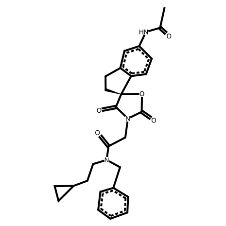 CC(=O)Nc1ccc2c(c1)CC[C@]21OC(=O)N(CC(=O)N(CCC2CC2)Cc2ccccc2)C1=O